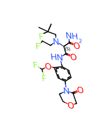 CC(C)(C)CN(CC(F)F)[C@@H](C(N)=O)C(=O)Nc1ccc(N2CCOCC2=O)cc1OC(F)F